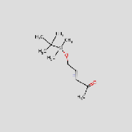 CC(=O)/C=C/CO[Si](C)(C)C(C)(C)C